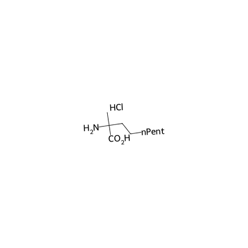 CCCCCCCC(C)(N)C(=O)O.Cl